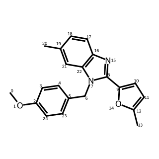 COc1ccc(Cn2c(-c3ccc(C)o3)nc3ccc(C)cc32)cc1